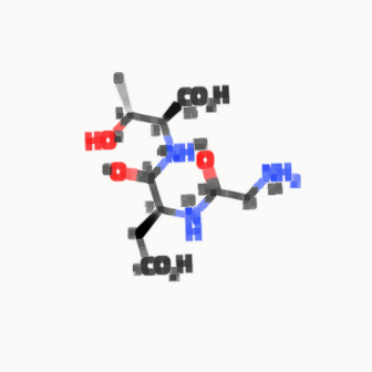 C[C@@H](O)[C@H](NC(=O)[C@H](CC(=O)O)NC(=O)CN)C(=O)O